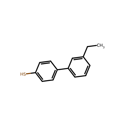 CCc1cccc(-c2ccc(S)cc2)c1